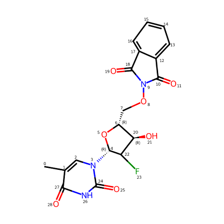 Cc1cn([C@@H]2O[C@H](CON3C(=O)c4ccccc4C3=O)[C@@H](O)C2F)c(=O)[nH]c1=O